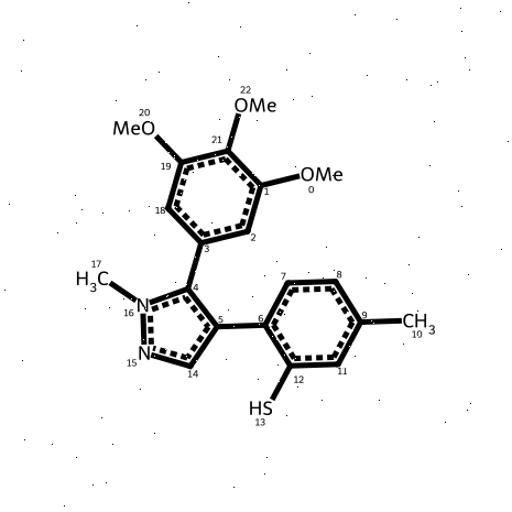 COc1cc(-c2c(-c3ccc(C)cc3S)cnn2C)cc(OC)c1OC